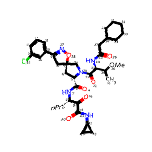 CCC[C@H](NC(=O)[C@@H]1C[C@]2(CC(c3cccc(Cl)c3)=NO2)CN1C(=O)[C@@H](NC(=O)CC1CCCCC1)C(C)OC)C(=O)C(=O)NC1CC1